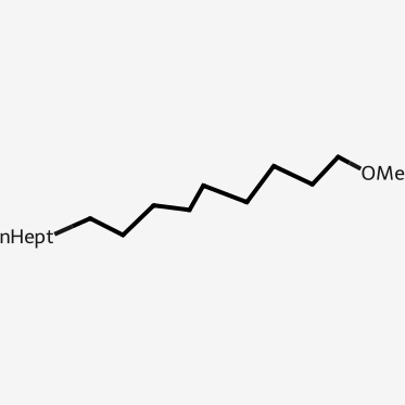 CCCCCCCCCCCCCCCCOC